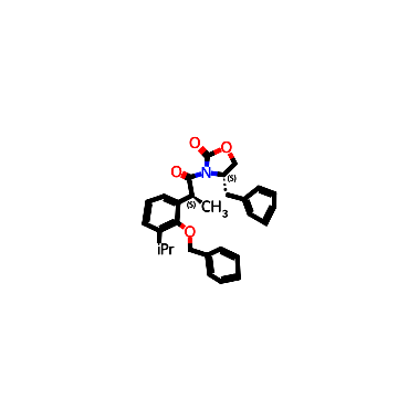 CC(C)c1cccc([C@H](C)C(=O)N2C(=O)OC[C@@H]2Cc2ccccc2)c1OCc1ccccc1